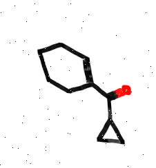 O=C(C1=CCCCC1)C1CC1